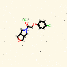 Cl.O=C(COc1ccc(Cl)cc1)N1CC2COCC2C1